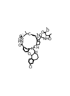 COC(=O)[C@@H](NC(=O)C[C@]1(OC)/C=C/C[C@H](C)[C@@H](C)S(=O)(=O)NC(=O)c2ccc3c(c2)N(C[C@H]2CCCc4cc(Cl)ccc4C2O3)C[C@@H]2CC[C@H]21)C(C)=O